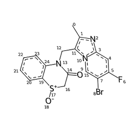 Cc1nc2cc(F)c(Br)cn2c1CN1C(=O)C[S+]([O-])c2ccccc21